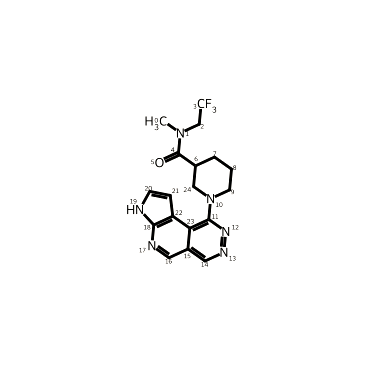 CN(CC(F)(F)F)C(=O)C1CCCN(c2nncc3cnc4[nH]ccc4c23)C1